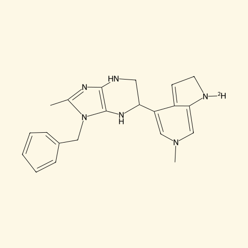 [2H]N1CC=C2C(C3CNc4nc(C)n(Cc5ccccc5)c4N3)=CN(C)C=C21